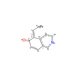 CCC/C=C1/C(=O)C=Cc2cnccc21